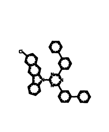 Clc1ccc2cc3c(cc2c1)c1ccccc1n3-c1nc(-c2cccc(-c3ccccc3)c2)nc(-c2cccc(-c3ccccc3)c2)n1